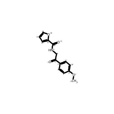 COc1ccc(C(=O)CNC(=O)c2ccco2)cc1